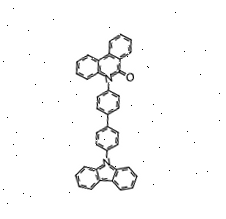 O=c1c2ccccc2c2ccccc2n1-c1ccc(-c2ccc(-n3c4ccccc4c4ccccc43)cc2)cc1